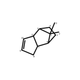 CC1(C)C2CCC1C1CC=CC12